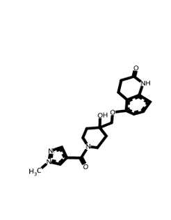 Cn1cc(C(=O)N2CCC(O)(COc3cccc4c3CCC(=O)N4)CC2)cn1